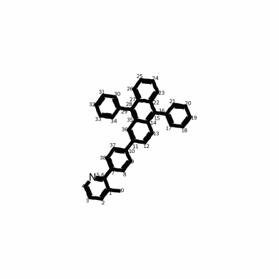 Cc1cccnc1-c1ccc(-c2ccc3c(-c4ccccc4)c4ccccc4c(-c4ccccc4)c3c2)cc1